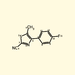 Cc1sc(C#N)nc1-c1ccc(F)cc1